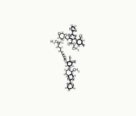 COC(=O)C1=C(CN2CCOC[C@H]2CN(C)CCCCCCOc2cc(N3CCc4nc(-c5ncccn5)ncc4C3C)cc(F)c2F)NC(c2nccs2)=N[C@H]1c1ccc(F)cc1Cl